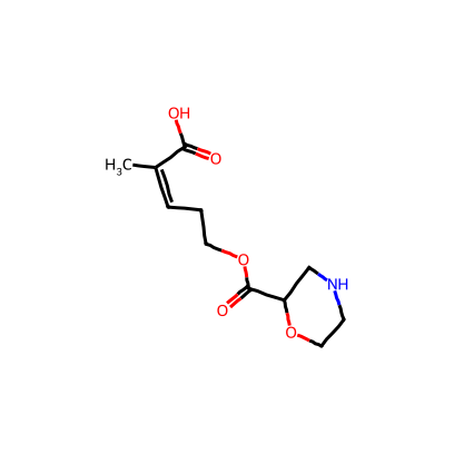 CC(=CCCOC(=O)C1CNCCO1)C(=O)O